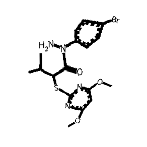 COc1cc(OC)nc(SC(C(=O)N(N)c2ccc(Br)cc2)C(C)C)n1